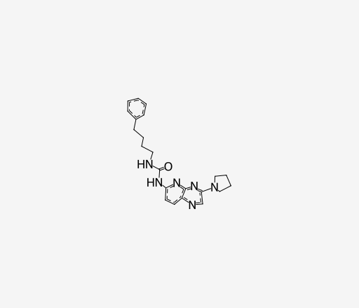 O=C(NCCCCc1ccccc1)Nc1ccc2ncc(N3CCCC3)nc2n1